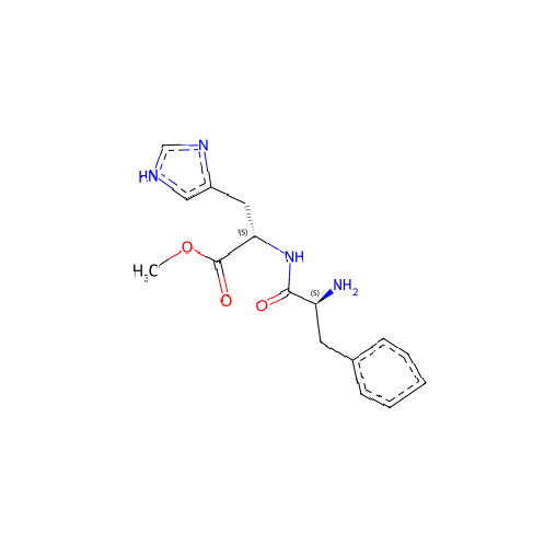 COC(=O)[C@H](Cc1c[nH]cn1)NC(=O)[C@@H](N)Cc1ccccc1